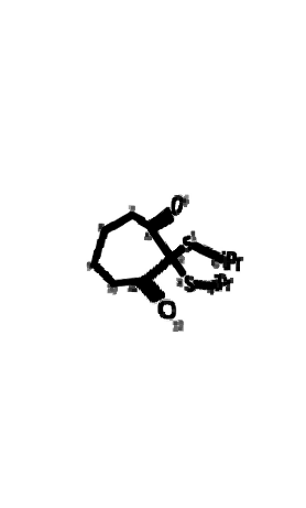 CC(C)SC1(SC(C)C)C(=O)CCCCC1=O